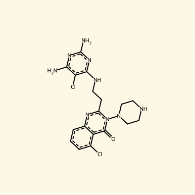 Nc1nc(N)c(Cl)c(NCCc2nc3cccc(Cl)c3c(=O)n2N2CCNCC2)n1